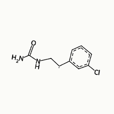 NC(=O)NC[CH]c1cccc(Cl)c1